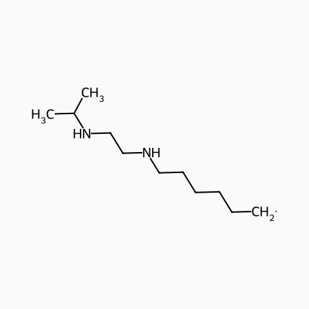 [CH2]CCCCCNCCNC(C)C